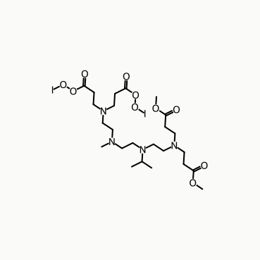 COC(=O)CCN(CCC(=O)OC)CCN(CCN(C)CCN(CCC(=O)OOI)CCC(=O)OOI)C(C)C